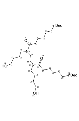 CCCCCCCCCCCCCCCC(=O)N(CCCCO)CCN(CCCCO)C(=O)CCCCCCCCCCCCCCC